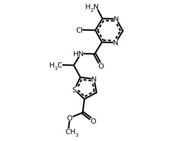 COC(=O)c1cnc(C(C)NC(=O)c2ncnc(N)c2Cl)s1